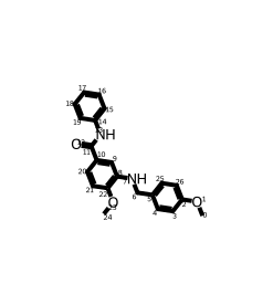 COc1ccc(CNc2cc(C(=O)Nc3ccccc3)ccc2OC)cc1